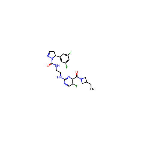 N#CCC1CN(C(=O)c2nc(NCCNC(=O)N3N=CC[C@H]3c3cc(F)cc(F)c3)ncc2F)C1